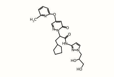 Cc1cccc(Oc2cnn(C(CC3CCCC3)C(=O)Nc3ccn(CC(O)CO)n3)c(=O)c2)n1